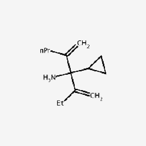 C=C(CC)C(N)(C(=C)CCC)C1CC1